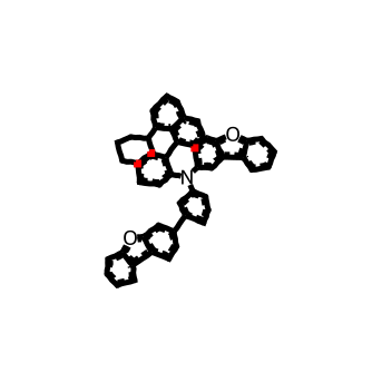 c1cc(-c2ccc3c(c2)oc2ccccc23)cc(N(c2ccc3oc4ccccc4c3c2)c2ccccc2-c2cccc3cccc(C4CCCCC4)c23)c1